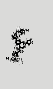 Cc1n[nH]cc1Nc1nccc(-c2ccc3c(c2)CN(C2CCOC2)CC[C@H]3NC(=O)c2cn(C(C)(C)C)nn2)n1